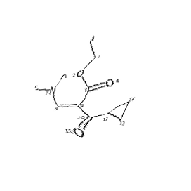 CCOC(=O)/C(=C\N(C)C)C(=O)C1CC1